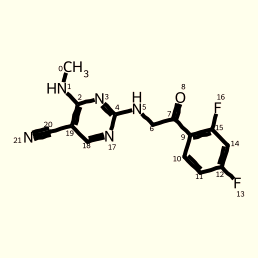 CNc1nc(NCC(=O)c2ccc(F)cc2F)ncc1C#N